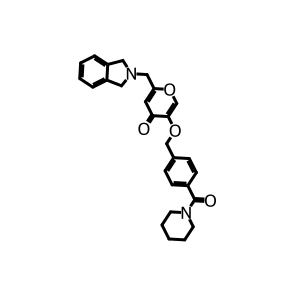 O=C(c1ccc(COc2coc(CN3Cc4ccccc4C3)cc2=O)cc1)N1CCCCC1